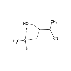 CC(C#N)C(CC#N)CS(C)(F)F